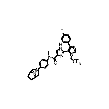 CN1C2CCC1CN(c1ccc(NC(=O)c3c[nH]c(-c4c(-c5ccc(F)cc5)ncn4CC(F)(F)F)n3)cc1)C2